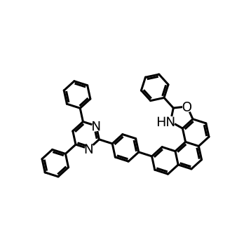 c1ccc(-c2cc(-c3ccccc3)nc(-c3ccc(-c4ccc5ccc6ccc7c(c6c5c4)NC(c4ccccc4)O7)cc3)n2)cc1